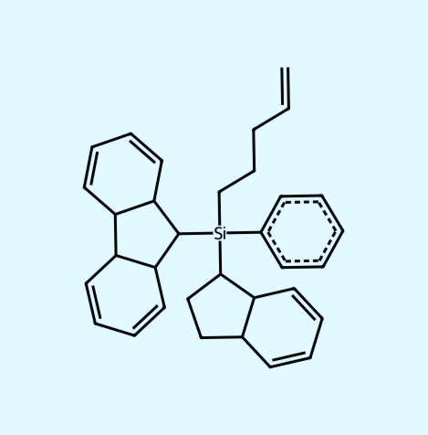 C=CCCC[Si](c1ccccc1)(C1CCC2C=CC=CC21)C1C2C=CC=CC2C2C=CC=CC21